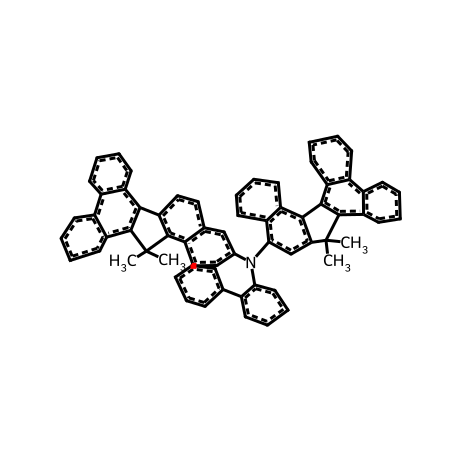 CC1(C)c2cc(N(c3ccc4c5c(ccc4c3)-c3c(c4ccccc4c4ccccc34)C5(C)C)c3ccccc3-c3ccccc3)c3ccccc3c2-c2c1c1ccccc1c1ccccc21